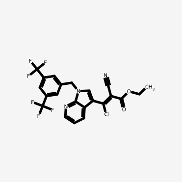 CCOC(=O)/C(C#N)=C(\Cl)c1cn(Cc2cc(C(F)(F)F)cc(C(F)(F)F)c2)c2ncccc12